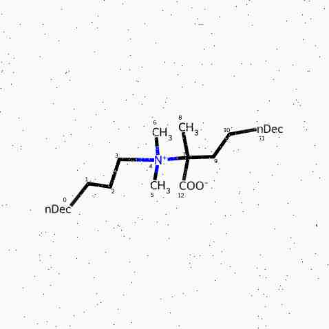 CCCCCCCCCCCCC[N+](C)(C)C(C)(CCCCCCCCCCCC)C(=O)[O-]